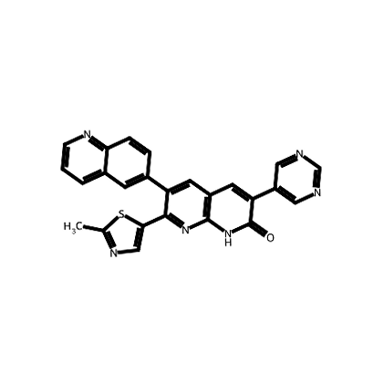 Cc1ncc(-c2nc3[nH]c(=O)c(-c4cncnc4)cc3cc2-c2ccc3ncccc3c2)s1